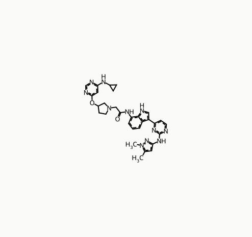 Cc1cc(Nc2nccc(-c3c[nH]c4c(NC(=O)CN5CCC(Oc6cc(NC7CC7)ncn6)C5)cccc34)n2)nn1C